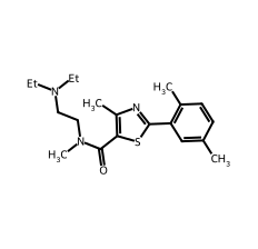 CCN(CC)CCN(C)C(=O)c1sc(-c2cc(C)ccc2C)nc1C